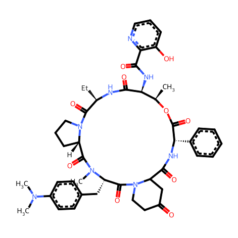 CC[C@H]1NC(=O)[C@@H](NC(=O)c2ncccc2O)[C@@H](C)OC(=O)[C@H](c2ccccc2)NC(=O)C2CC(=O)CCN2C(=O)[C@H](Cc2ccc(N(C)C)cc2)N(C)C(=O)[C@@H]2CCCN2C1=O